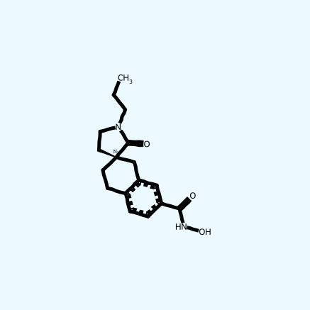 CCCN1CC[C@@]2(CCc3ccc(C(=O)NO)cc3C2)C1=O